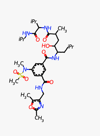 Cc1nc(CNC(=O)c2cc(C(=O)NC(CC(C)C)C(O)CC(C)C(=O)NC(C(=O)NC(C)C)C(C)C)cc(N(C)S(C)(=O)=O)c2)c(C)o1